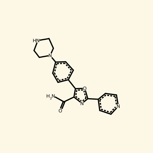 NC(=O)c1nc(-c2ccncc2)oc1-c1ccc(N2CCNCC2)cc1